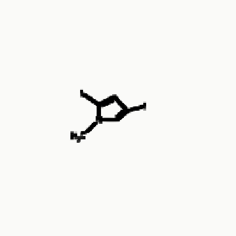 Cn1cc(I)cc1I